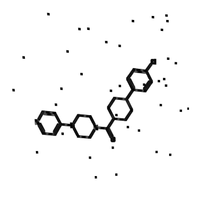 O=C(C1CCC(c2ccc(Cl)cc2)CC1)N1CCN(c2ccncc2)CC1